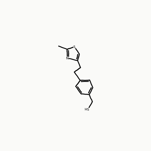 Cc1nc(CCc2ccc(CS)cc2)cs1